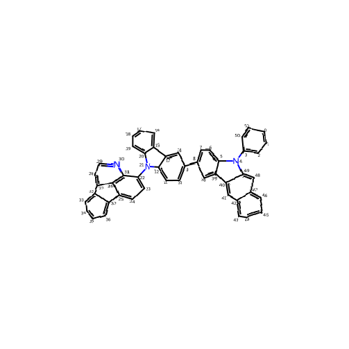 c1ccc(-n2c3ccc(-c4ccc5c(c4)c4ccccc4n5-c4ccc5c6c(ccnc46)-c4ccccc4-5)cc3c3cc4ccccc4cc32)cc1